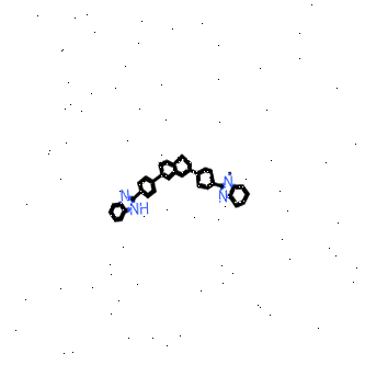 Cn1c(-c2ccc(-c3ccc4ccc(-c5ccc(-c6nc7ccccc7[nH]6)cc5)cc4c3)cc2)nc2ccccc21